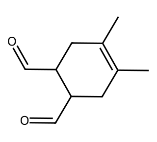 CC1=C(C)CC(C=O)C(C=O)C1